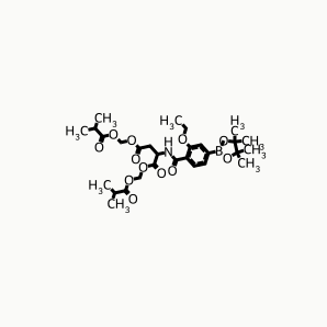 CCOc1cc(B2OC(C)(C)C(C)(C)O2)ccc1C(=O)NC(CC(=O)OCOC(=O)C(C)C)C(=O)OCOC(=O)C(C)C